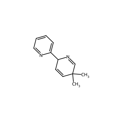 CC1(C)C=CC(c2ccccn2)N=C1